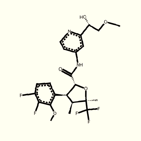 COC[C@@H](O)c1cc(NC(=O)[C@@H]2O[C@@](C)(C(F)(F)F)[C@@H](C)[C@H]2c2ccc(F)c(F)c2OC)ccn1